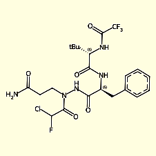 CC(C)(C)[C@H](NC(=O)C(F)(F)F)C(=O)N[C@@H](Cc1ccccc1)C(=O)NN(CCC(N)=O)C(=O)C(F)Cl